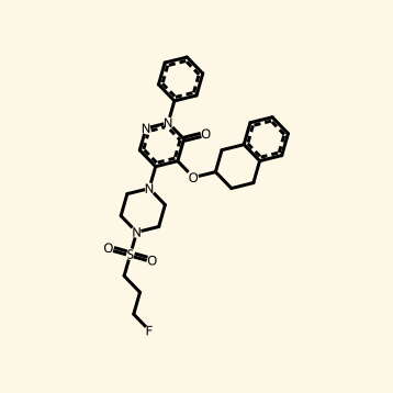 O=c1c(OC2CCc3ccccc3C2)c(N2CCN(S(=O)(=O)CCCF)CC2)cnn1-c1ccccc1